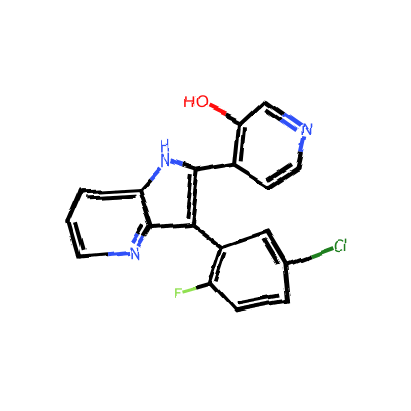 Oc1cnccc1-c1[nH]c2cccnc2c1-c1cc(Cl)ccc1F